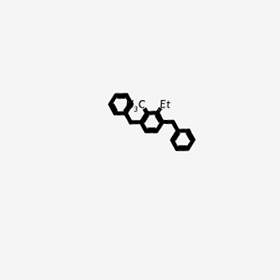 CCc1c(Cc2ccccc2)ccc(Cc2ccccc2)c1C